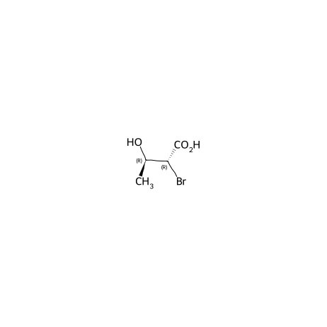 C[C@@H](O)[C@@H](Br)C(=O)O